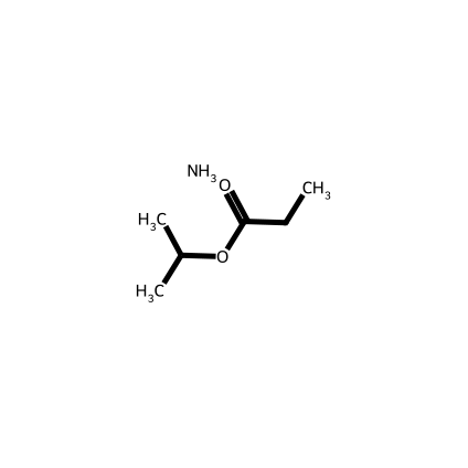 CCC(=O)OC(C)C.N